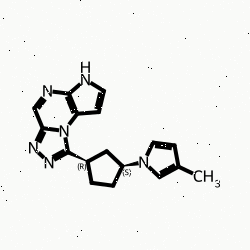 Cc1ccn([C@H]2CC[C@@H](c3nnc4cnc5[nH]ccc5n34)C2)c1